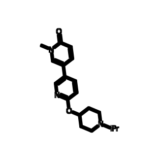 CC(C)N1CCC(Oc2ccc(-c3ccc(=O)n(C)c3)cn2)CC1